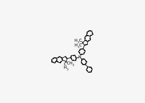 CC1(C)C(c2ccc(N(c3ccc(C4=Cc5cc6ccccc6cc5C4(C)C)cc3)c3ccc(-c4ccccc4)cc3)cc2)=Cc2cc3ccccc3cc21